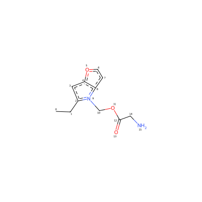 CCc1cc2occc2n1COC(=O)CN